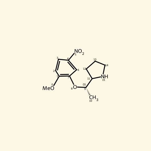 COc1ccc([N+](=O)[O-])cc1O[C@@H](C)C1CCCN1